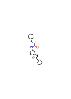 CC(Cc1ccccc1)C(=O)Nc1ccc2oc(-c3ccccc3)nc2c1